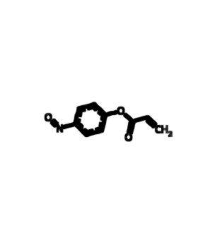 C=CC(=O)Oc1ccc(N=O)cc1